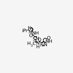 CC(C)c1nccc(NC(=O)c2cnc([C@@H](C)NC(=O)c3ncnc4c3CCC(=O)N4)s2)n1